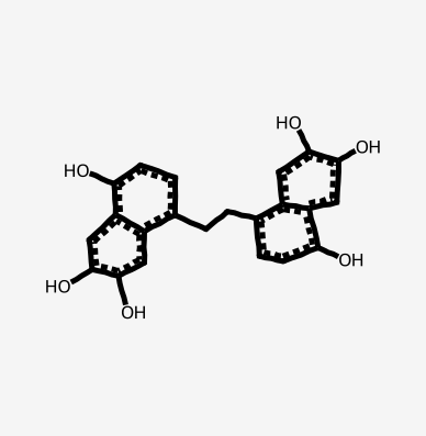 Oc1cc2c(O)ccc(CCc3ccc(O)c4cc(O)c(O)cc34)c2cc1O